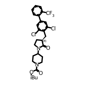 CCC(C)OC(=O)N1CCC(N2CC[C@@H](Cc3c(Cl)cc(-c4ccccc4C(F)(F)F)cc3Cl)C2=O)CC1